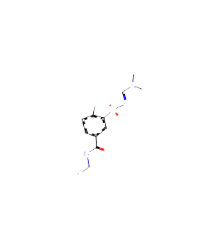 CN(C)C=NS(=O)(=O)c1cc(C(=O)NCC(C)(C)C)ccc1Cl